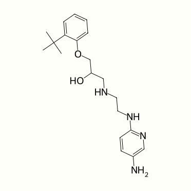 CC(C)(C)c1ccccc1OCC(O)CNCCNc1ccc(N)cn1